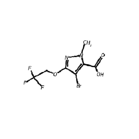 Cn1nc(OCC(F)(F)F)c(Br)c1C(=O)O